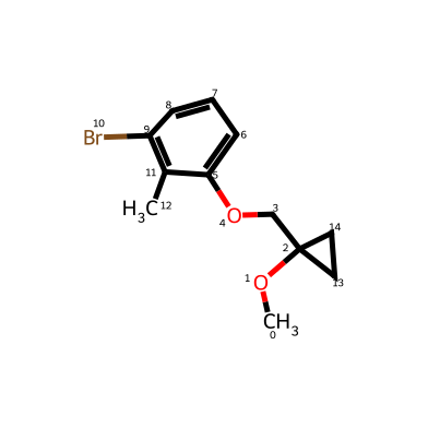 COC1(COc2cccc(Br)c2C)CC1